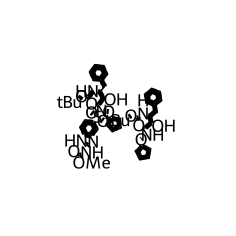 CC(C)(C)OC(=O)NC(Cc1ccccc1)C(O)CNOC1CCCC1.COC(=O)Nc1nc2cc(S(=O)(=O)N(C[C@@H](O)[C@H](Cc3ccccc3)NC(=O)OC(C)(C)C)OC3CCCC3)ccc2[nH]1